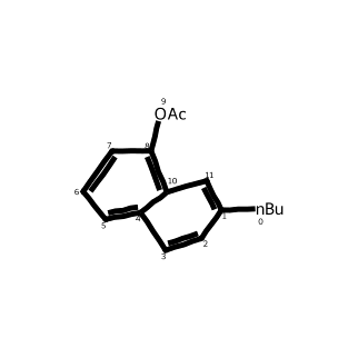 CCCCc1ccc2cccc(OC(C)=O)c2c1